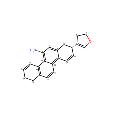 C1=COCC1.Nc1cc2c(c3ccc4c(c13)C=CCC4)C=CCC2